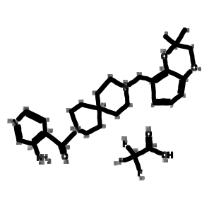 CC1(C)COc2cccc(CN3CCC4(CC3)CCN(C(=O)c3ccncc3N)CC4)c2O1.O=C(O)C(F)(F)F